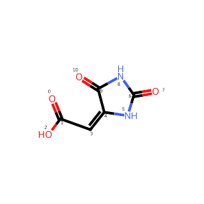 O=C(O)C=C1NC(=O)NC1=O